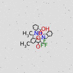 Cc1cc([C@@H](C)Nc2ccccc2C(=O)O)c2oc(N3Cc4ccccc4C3)c(C(F)(F)F)c(=O)c2c1